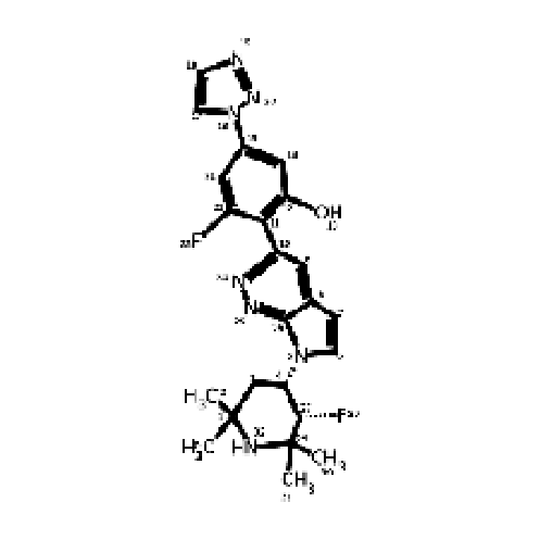 CC1(C)C[C@H](n2ccc3cc(-c4c(O)cc(-n5ccnn5)cc4F)nnc32)[C@H](F)C(C)(C)N1